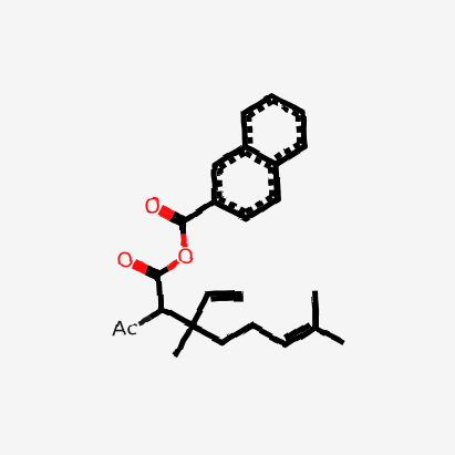 C=CC(C)(CCC=C(C)C)C(C(C)=O)C(=O)OC(=O)c1ccc2ccccc2c1